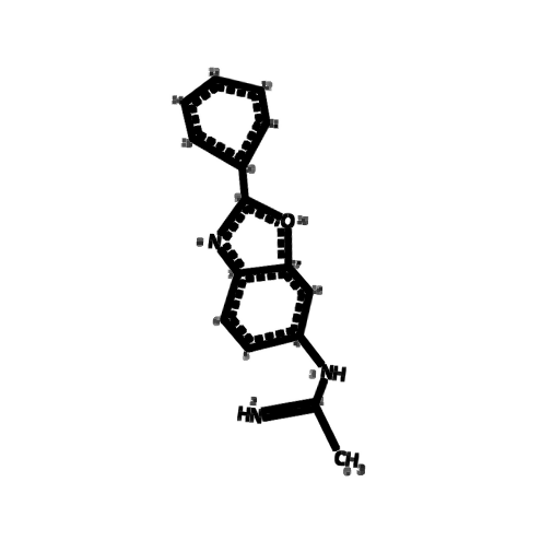 CC(=N)Nc1ccc2nc(-c3ccccc3)oc2c1